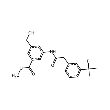 COC(=O)c1cc(CO)cc(NC(=O)Cc2cccc(C(F)(F)F)c2)c1